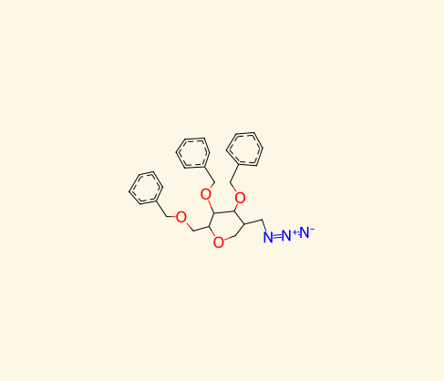 [N-]=[N+]=NCC1COC(COCc2ccccc2)C(OCc2ccccc2)C1OCc1ccccc1